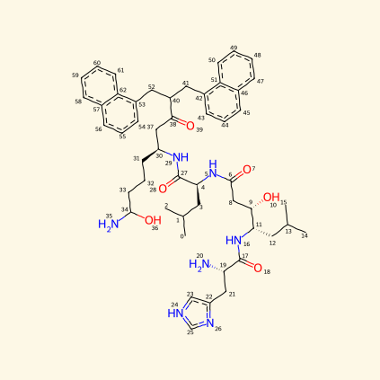 CC(C)C[C@H](NC(=O)C[C@H](O)[C@H](CC(C)C)NC(=O)[C@@H](N)Cc1c[nH]cn1)C(=O)N[C@@H](CCCC(N)O)CC(=O)C(Cc1cccc2ccccc12)Cc1cccc2ccccc12